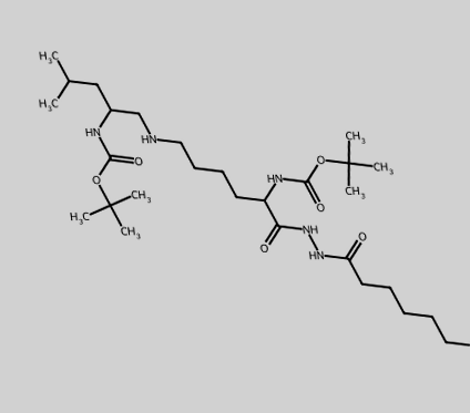 CC(C)CC(CNCCCCC(NC(=O)OC(C)(C)C)C(=O)NNC(=O)CCCCCN)NC(=O)OC(C)(C)C